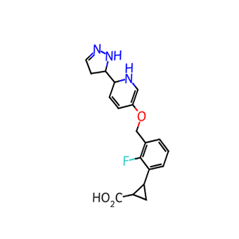 O=C(O)C1CC1c1cccc(COC2=CNC(C3CC=NN3)C=C2)c1F